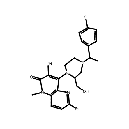 CC(c1ccc(F)cc1)N1CCN(c2c(C#N)c(=O)n(C)c3ccc(Br)nc23)C(CO)C1